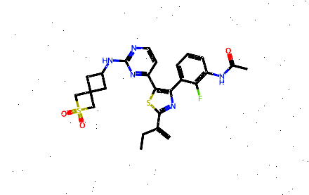 C=C(CC)c1nc(-c2cccc(NC(C)=O)c2F)c(-c2ccnc(NC3CC4(C3)CS(=O)(=O)C4)n2)s1